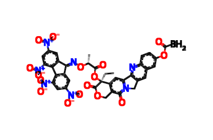 BC(=O)Oc1ccc2nc3c(cc2c1)Cn1c-3cc2c(c1=O)COC(=O)[C@@]2(CC)OC(=O)[C@@H](C)ON=C1c2cc([N+](=O)[O-])cc([N+](=O)[O-])c2-c2c1cc([N+](=O)[O-])cc2[N+](=O)[O-]